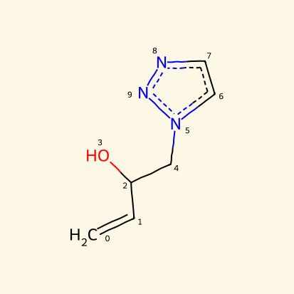 C=CC(O)Cn1ccnn1